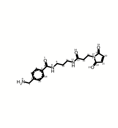 NCc1ccc(C(=O)NCCCNC(=O)CCN2C(=O)C=CC2=O)cc1